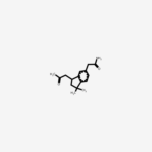 CC(=O)CC1CC(C)(C)c2ccc(CC(N)=O)cc21